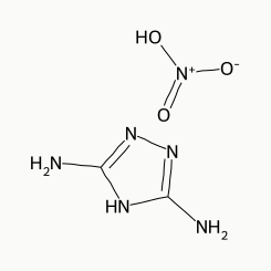 Nc1nnc(N)[nH]1.O=[N+]([O-])O